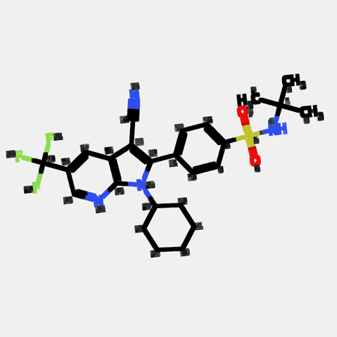 CC(C)(C)NS(=O)(=O)c1ccc(-c2c(C#N)c3cc(C(F)(F)F)cnc3n2C2CCCCC2)cc1